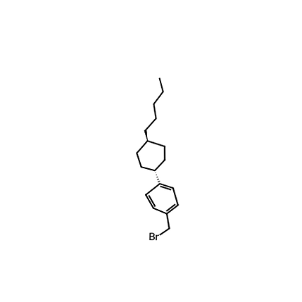 CCCCC[C@H]1CC[C@H](c2ccc(CBr)cc2)CC1